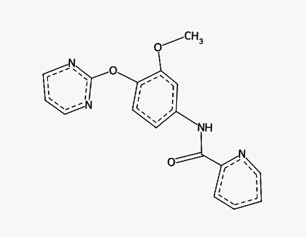 COc1cc(NC(=O)c2ccccn2)ccc1Oc1ncccn1